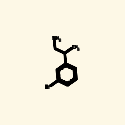 NCC(c1cccc(Br)c1)C(F)(F)F